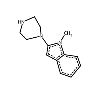 Cn1c(N2CCNCC2)cc2ccccc21